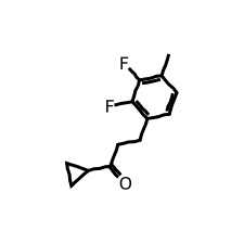 Cc1ccc(CCC(=O)C2CC2)c(F)c1F